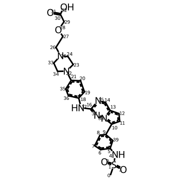 CS(=O)(=O)Nc1cccc(-c2ccc3cnc(Nc4ccc(N5CCN(CCOCC(=O)O)CC5)cc4)nn23)c1